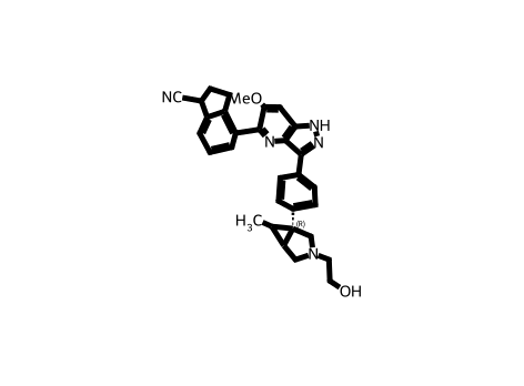 COc1cc2[nH]nc(-c3ccc([C@]45CN(CCO)CC4C5C)cc3)c2nc1-c1cccc2c1CCC2C#N